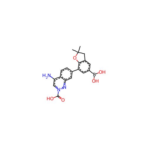 CC1(C)Cc2cc(B(O)O)cc(-c3ccc4c(N)c[n+](C(=O)O)nc4c3)c2O1